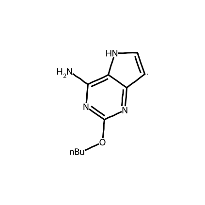 CCCCOc1nc(N)c2[nH]c[c]c2n1